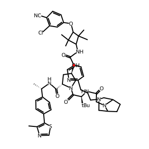 Cc1ncsc1-c1ccc([C@H](C)NC(=O)[C@@H]2C[C@@H](O)CN2C(=O)[C@@H](NC(=O)CN2C3CCC2CN(CCCc2ccc(C(=O)NC4C(C)(C)C(Oc5ccc(C#N)c(Cl)c5)C4(C)C)cn2)C3)C(C)(C)C)cc1